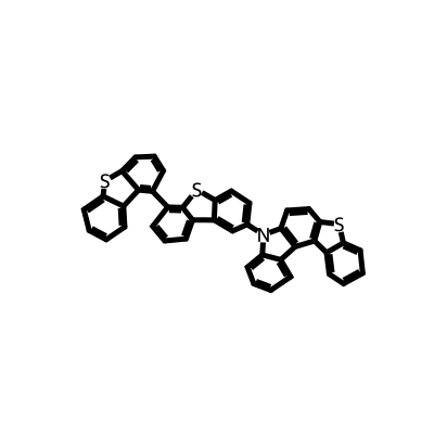 c1ccc2c(c1)sc1cccc(-c3cccc4c3sc3ccc(-n5c6ccccc6c6c7c(ccc65)sc5ccccc57)cc34)c12